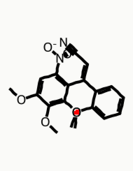 COc1ccccc1/C(=C/C#N)c1c([N+](=O)[O-])cc(OC)c(OC)c1OC